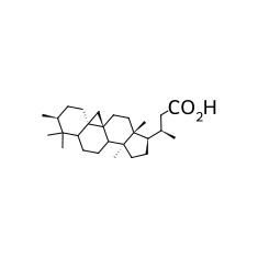 C[C@H](CC(=O)O)[C@H]1CC[C@@]2(C)C3CCC4C(C)(C)[C@@H](C)CC[C@@]45C[C@@]35CC[C@]12C